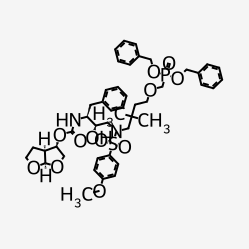 COc1ccc(S(=O)(=O)N(C[C@@H](O)[C@H](Cc2ccccc2)NC(=O)O[C@H]2CO[C@H]3OCC[C@H]32)CC(C)(C)CCOCP(=O)(OCc2ccccc2)OCc2ccccc2)cc1